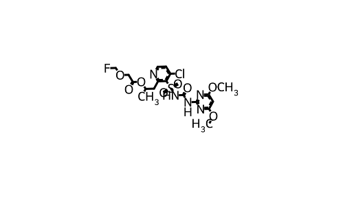 COc1cc(OC)nc(NC(=O)NS(=O)(=O)c2c(Cl)ccnc2CC(C)OC(=O)COCF)n1